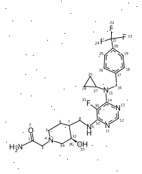 NC(=O)CN1CCC(CNc2ncnc(N(Cc3ccc(C(F)(F)F)cc3)C3CC3)c2F)[C@@H](O)C1